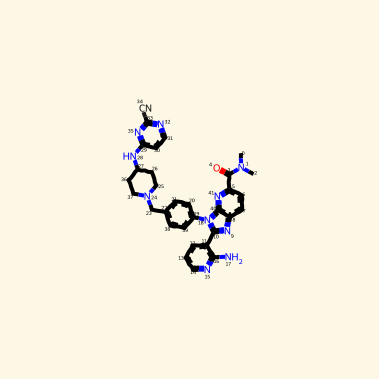 CN(C)C(=O)c1ccc2nc(-c3cccnc3N)n(-c3ccc(CN4CCC(Nc5ccnc(C#N)n5)CC4)cc3)c2n1